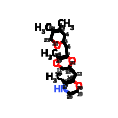 CC1=C(C)CC(CC2=C(C)OCC(CC3=C(C)NCCO3)O2)OC1